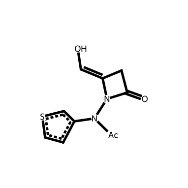 CC(=O)N(c1ccsc1)N1C(=O)CC1=CO